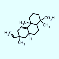 C=C[C@@]1(C)CC=C2[C@@H](CCC3[C@](C)(C(=O)O)CCC[C@@]23C)C1